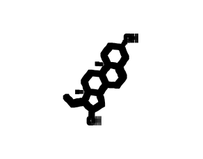 C/C=C1/C(O)CC2C3CC=C4C[C@@H](O)CC[C@]4(C)C3CC[C@]12C